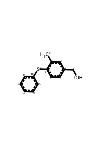 Cc1cc(CO)ccc1Sc1ccccc1